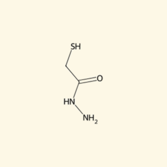 NNC(=O)CS